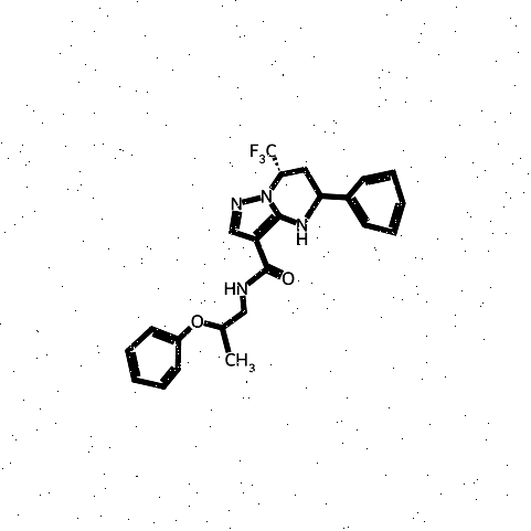 CC(CNC(=O)c1cnn2c1NC(c1ccccc1)C[C@H]2C(F)(F)F)Oc1ccccc1